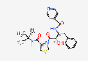 CC(C)(C)NC(=O)[C@@H]1CSCN1C(=O)[C@@H](O)[C@H](Cc1ccccc1)NC(=O)c1ccncc1